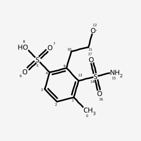 Cc1ccc(S(=O)(=O)O)c(CC[O])c1S(N)(=O)=O